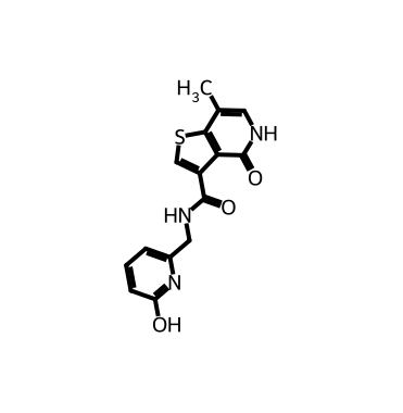 Cc1c[nH]c(=O)c2c(C(=O)NCc3cccc(O)n3)csc12